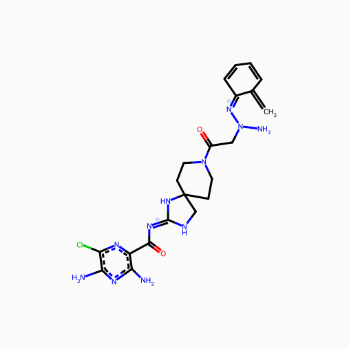 C=C1C=CC=C/C1=N/N(N)CC(=O)N1CCC2(CC1)CN/C(=N\C(=O)c1nc(Cl)c(N)nc1N)N2